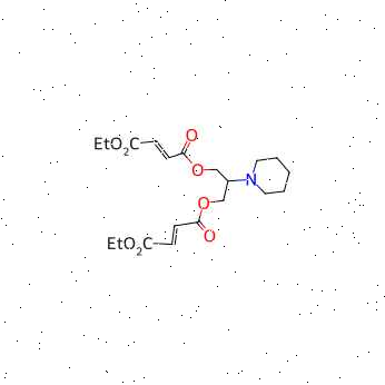 CCOC(=O)/C=C/C(=O)OCC(COC(=O)/C=C/C(=O)OCC)N1CCCCC1